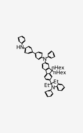 CCCCCCC1(CCCCCC)c2cc(N(c3ccccc3)c3ccc(-c4ccc(Nc5ccccc5)cc4)cc3)ccc2-c2ccc(C(CC)(CC)N(c3ccccc3)c3ccccc3)cc21